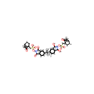 CC1(C)C2CCC1(CS(=O)(=O)ON1C(=O)c3ccc(C(c4ccc5c(c4)C(=O)N(OS(=O)(=O)CC46CCC(CC4=O)C6(C)C)C5=O)(C(F)(F)F)C(F)(F)F)cc3C1=O)C(=O)C2